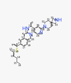 C=C(Nc1cc2cc(C(=C)S/C(C)=C\CCC)ccc2cn1)c1ccnc(N2CCC3(CC2)CNC3)c1